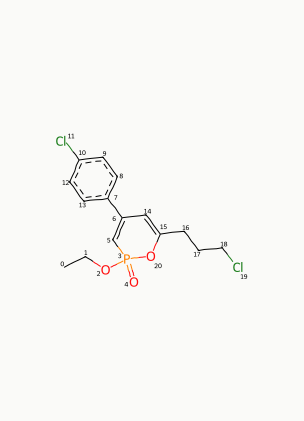 CCOP1(=O)C=C(c2ccc(Cl)cc2)C=C(CCCCl)O1